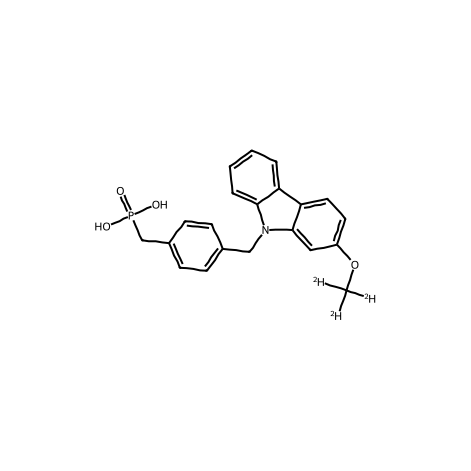 [2H]C([2H])([2H])Oc1ccc2c3ccccc3n(Cc3ccc(CP(=O)(O)O)cc3)c2c1